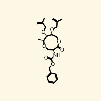 C=C(C)CO[C@H]1[C@H](C)OC[C@H](NC(=O)OCc2ccccc2)C(=O)OC[C@@H]1OCC(=C)C